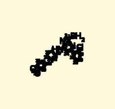 Bc1cnn2c(NCC3CCCN(Cc4ccc5c(c4)OCO5)C3)cc(-c3ccccc3Cl)nc12